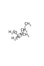 CCCCCCC(C)(CC)N1CCN(C)C(COC)C1